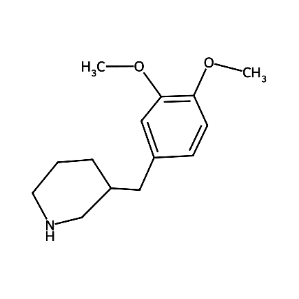 COc1ccc(CC2CCCNC2)cc1OC